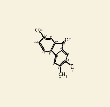 Cc1cc2c(cc1Cl)C(=O)c1cc(Cl)ccc1-2